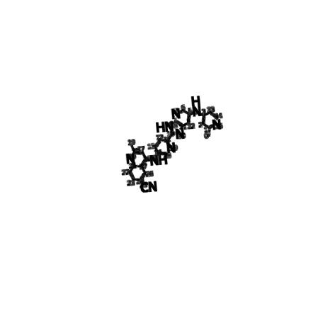 Cc1cc(Nc2cnc3[nH]c(-c4ccc(Nc5cc(C)nc6ccc(C#N)cc56)cn4)nc3c2)ccn1